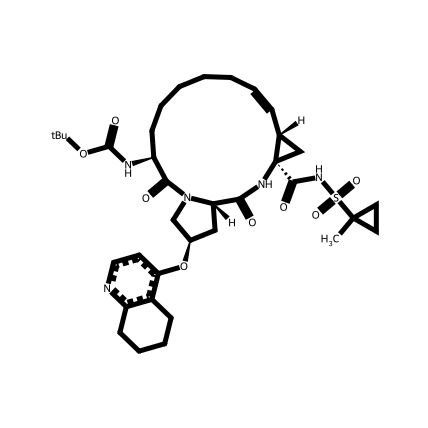 CC(C)(C)OC(=O)N[C@H]1CCCCC/C=C\[C@@H]2C[C@@]2(C(=O)NS(=O)(=O)C2(C)CC2)NC(=O)[C@@H]2C[C@@H](Oc3ccnc4c3CCCC4)CN2C1=O